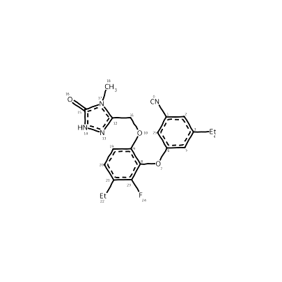 [C-]#[N+]c1cc(CC)cc(Oc2c(OCc3n[nH]c(=O)n3C)ccc(CC)c2F)c1